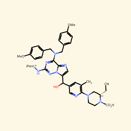 CCC[C@H](C)Nc1nc(N(Cc2ccc(OC)cc2)Cc2ccc(OC)cc2)c2ncc(C(O)c3cnc(N4CCN(C(=O)O)[C@@H](CC#N)C4)c(C)c3)n2n1